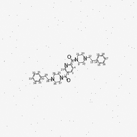 O=C(c1ccc(C(=O)N2CCN(CCc3ccccc3)CC2)nc1)N1CCN(CCc2ccccc2)CC1